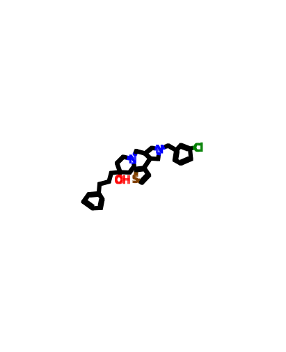 OC1(CCCc2ccccc2)CCN(CC2CN(Cc3cccc(Cl)c3)CC2c2ccsc2)CC1